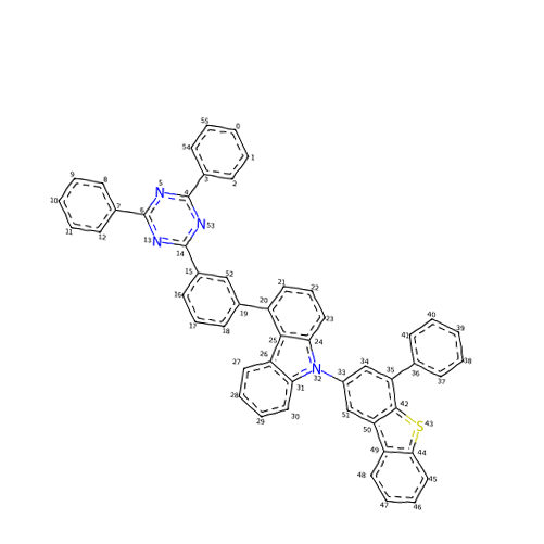 c1ccc(-c2nc(-c3ccccc3)nc(-c3cccc(-c4cccc5c4c4ccccc4n5-c4cc(-c5ccccc5)c5sc6ccccc6c5c4)c3)n2)cc1